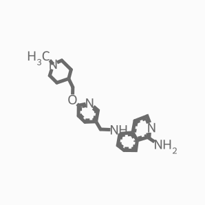 CN1CCC(COc2ccc(CNc3cccc4c(N)nccc34)cn2)CC1